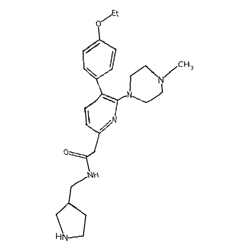 CCOc1ccc(-c2ccc(CC(=O)NCC3CCNC3)nc2N2CCN(C)CC2)cc1